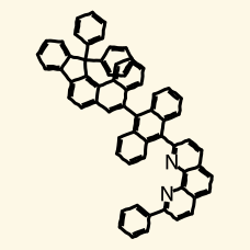 c1ccc(-c2ccc3ccc4ccc(-c5c6ccccc6c(-c6cc7ccc8c(c7c7ccccc67)C(c6ccccc6)(c6ccccc6)c6ccccc6-8)c6ccccc56)nc4c3n2)cc1